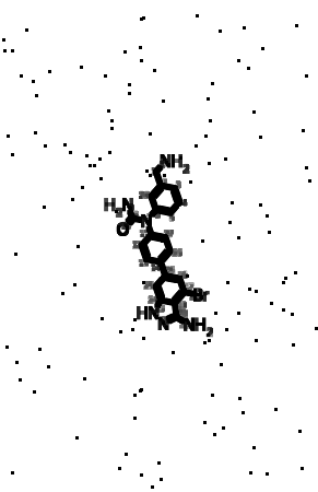 NCc1cccc(N(C(N)=O)c2ccc(-c3cc(Br)c4c(N)n[nH]c4c3)cc2)c1